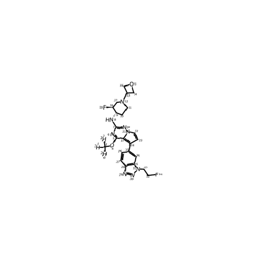 [2H]C([2H])([2H])Oc1nc(N[C@H]2CCN(C3COC3)C[C@@H]2F)nn2ccc(-c3ccc4nnn(CCF)c4c3)c12